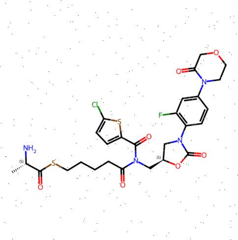 C[C@H](N)C(=O)SCCCCC(=O)N(C[C@H]1CN(c2ccc(N3CCOCC3=O)cc2F)C(=O)O1)C(=O)c1ccc(Cl)s1